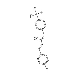 [O-][S+](C=Cc1ccc(F)cc1)Cc1ccc(C(F)(F)F)cc1